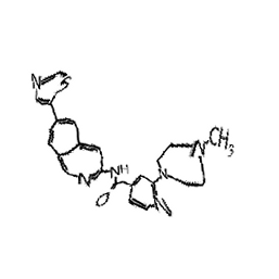 CN1CCN(c2cc(C(=O)Nc3cc4cc(-c5cncs5)ccc4cn3)ccn2)CC1